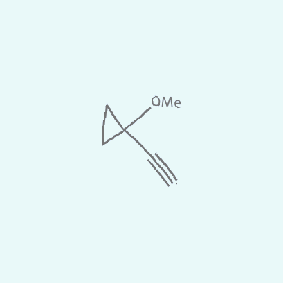 [C]#CC1(OC)CC1